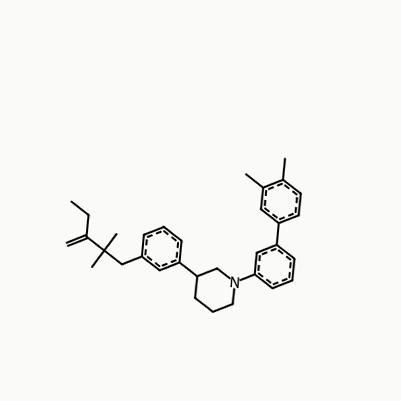 C=C(CC)C(C)(C)Cc1cccc(C2CCCN(c3cccc(-c4ccc(C)c(C)c4)c3)C2)c1